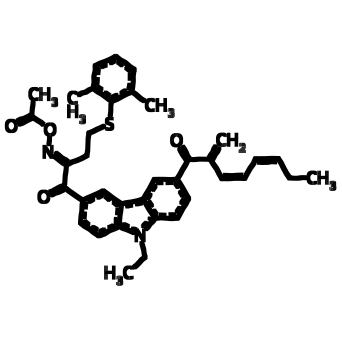 C=C(/C=C\C=C/CC)C(=O)c1ccc2c(c1)c1cc(C(=O)/C(CCSc3c(C)cccc3C)=N/OC(C)=O)ccc1n2CC